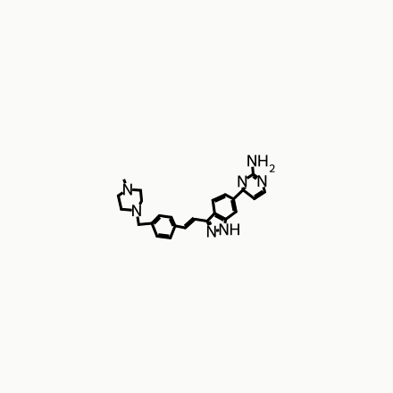 CN1CCN(Cc2ccc(C=Cc3n[nH]c4cc(-c5ccnc(N)n5)ccc34)cc2)CC1